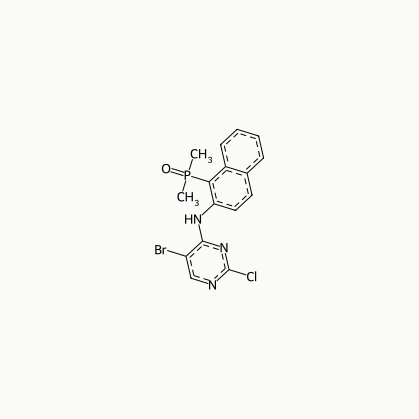 CP(C)(=O)c1c(Nc2nc(Cl)ncc2Br)ccc2ccccc12